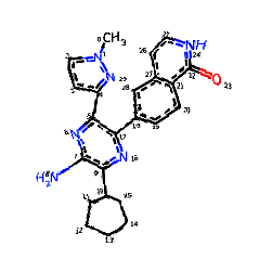 Cn1ccc(-c2nc(N)c(C3CCCCC3)nc2-c2ccc3c(=O)[nH]ccc3c2)n1